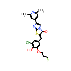 Cc1cc(-c2cn3c(=O)/c(=C/c4cc(Cl)c(O)c(OCCCF)c4)sc3n2)cc(C)n1